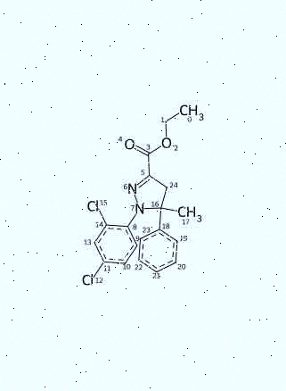 CCOC(=O)C1=NN(c2ccc(Cl)cc2Cl)C(C)(c2ccccc2)C1